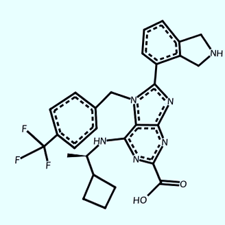 C[C@@H](Nc1nc(C(=O)O)nc2nc(-c3cccc4c3CNC4)n(Cc3ccc(C(F)(F)F)cc3)c12)C1CCC1